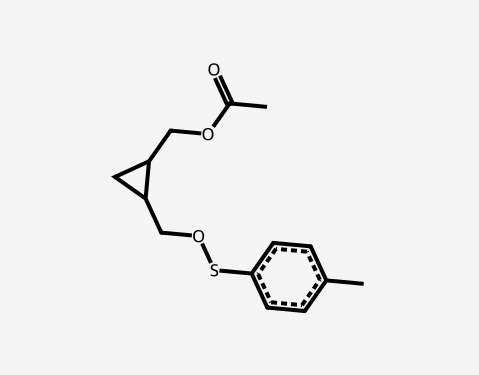 CC(=O)OCC1CC1COSc1ccc(C)cc1